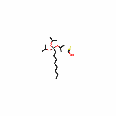 CCCCCCCC[Si](OC(C)C)(OC(C)C)OC(C)C.OC=S